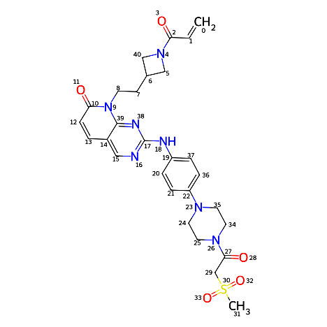 C=CC(=O)N1CC(CCn2c(=O)ccc3cnc(Nc4ccc(N5CCN(C(=O)CS(C)(=O)=O)CC5)cc4)nc32)C1